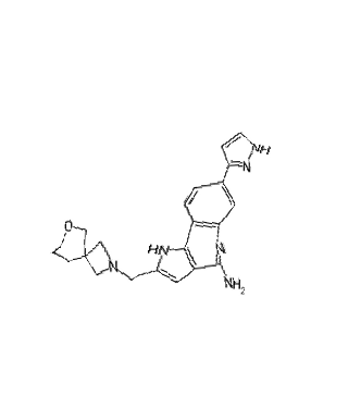 Nc1nc2cc(-c3cc[nH]n3)ccc2c2[nH]c(CN3CC4(CCOC4)C3)cc12